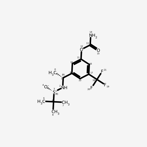 C[C@@H](N[S@@+]([O-])C(C)(C)C)c1cc(OC(N)=O)cc(C(F)(F)F)c1